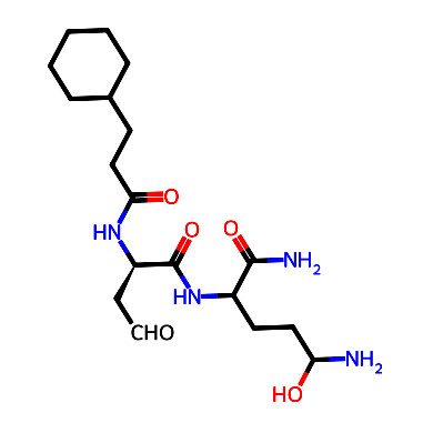 NC(=O)C(CCC(N)O)NC(=O)[C@@H](CC=O)NC(=O)CCC1CCCCC1